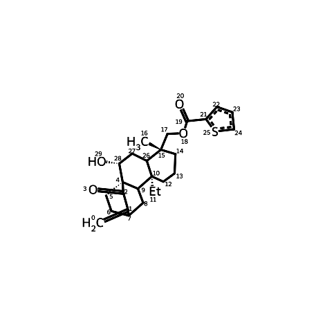 C=C1C(=O)[C@]23CCC1CC2[C@]1(CC)CCC[C@@](C)(COC(=O)c2cccs2)C1C[C@H]3O